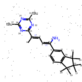 C/C(=C\C=C(/N)c1ccc2c(c1)C(C)(C)C(C)(C)C2(C)C)c1nc(C(C)(C)C)nc(C(C)(C)C)n1